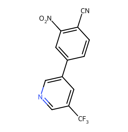 N#Cc1ccc(-c2cncc(C(F)(F)F)c2)cc1[N+](=O)[O-]